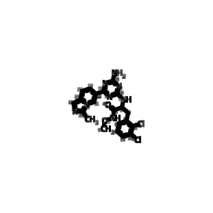 CONC(=O)C(Cc1cccc(Cl)c1Cl)Nc1nc(N)nc(-c2ccc3cnc(C)n3c2)n1